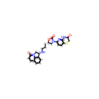 O=C1CSc2ccc(N3C[C@H](CCCN[C@@H]4Cn5c(=O)ccc6cccc4c65)OC3=O)nc2N1